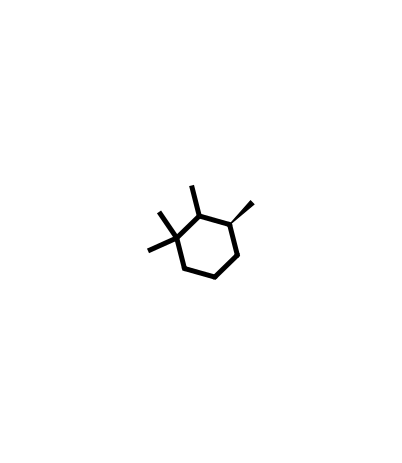 CC1[C@@H](C)CCCC1(C)C